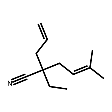 C=CCC(C#N)(CC)CC=C(C)C